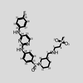 CS(=O)(=O)CCNCC1CCCN([S+]([O-])c2ccc(Nc3nccc(Nc4ccc(F)cc4)n3)cc2)C1